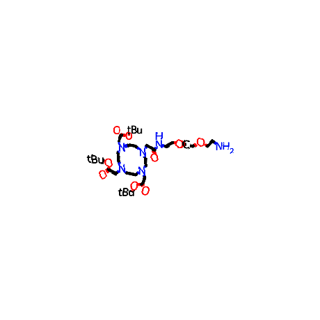 CC(C)(C)OC(=O)CN1CCN(CC(=O)NCCOCCOCCN)CCN(CC(=O)OC(C)(C)C)CCN(CC(=O)OC(C)(C)C)CC1